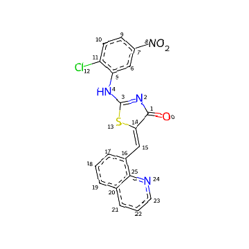 O=C1N=C(Nc2cc([N+](=O)[O-])ccc2Cl)SC1=Cc1cccc2cccnc12